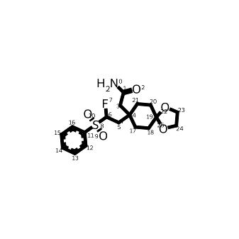 NC(=O)CC1([CH]C(F)S(=O)(=O)c2ccccc2)CCC2(CC1)OCCO2